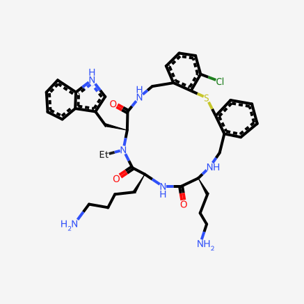 CCN1C(=O)[C@H](CCCCN)NC(=O)[C@H](CCCN)NCc2ccccc2Sc2c(Cl)cccc2CNC(=O)[C@@H]1Cc1c[nH]c2ccccc12